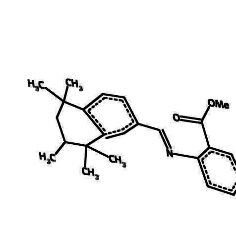 COC(=O)c1ccccc1N=Cc1ccc2c(c1)C(C)(C)C(C)CC2(C)C